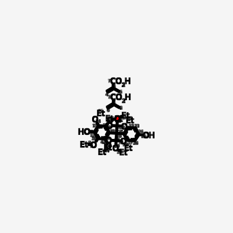 C=C(C)C(=O)O.C=C(C)C(=O)O.CCOc1c(O)c(OCC)c(OCC)c(C(c2ccc(O)cc2)(C(OCC)(OCC)OCC)C(OCC)(OCC)OCC)c1OCC